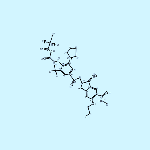 CCCOc1cc2c(cc1C(=O)NC)C(=N)N(CC(=O)c1cc(N3CCCC3)c(OCC(=O)OC(=O)C(F)(F)F)c(C(C)(C)C)c1)C2